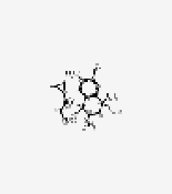 CC(=O)c1cc2c(cc1C)C(C)(C)C(C)CC2(C)C.CCCCCCCCCCCCC1CC1